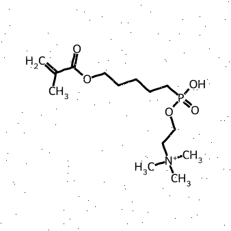 C=C(C)C(=O)OCCCCCP(=O)(O)OCC[N+](C)(C)C